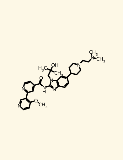 COc1ccncc1-c1cc(C(=O)Nc2nc3ccc(C4CCN(CCN(C)C)CC4)cc3n2CC(C)(C)O)ccn1